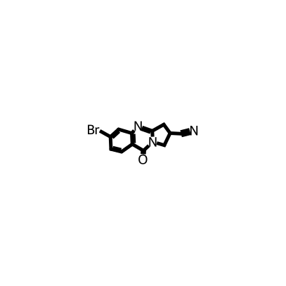 N#CC1Cc2nc3cc(Br)ccc3c(=O)n2C1